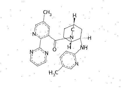 Cc1ccc(N[C@@H]2C[C@H]3CC[C@@H]2N(C(=O)c2cc(C)cnc2-c2ncccn2)C3)nc1